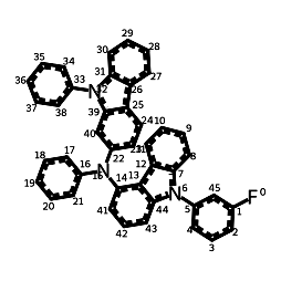 Fc1cccc(-n2c3ccccc3c3c(N(c4ccccc4)c4ccc5c6ccccc6n(-c6ccccc6)c5c4)cccc32)c1